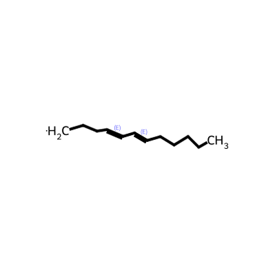 [CH2]CC/C=C/C=C/CCCCC